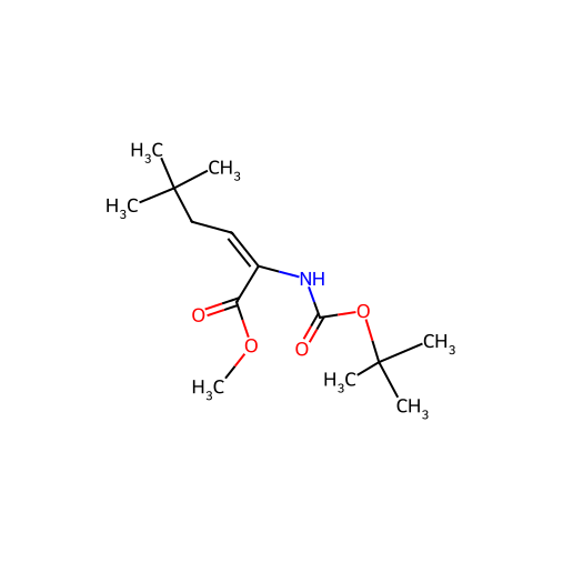 COC(=O)/C(=C\CC(C)(C)C)NC(=O)OC(C)(C)C